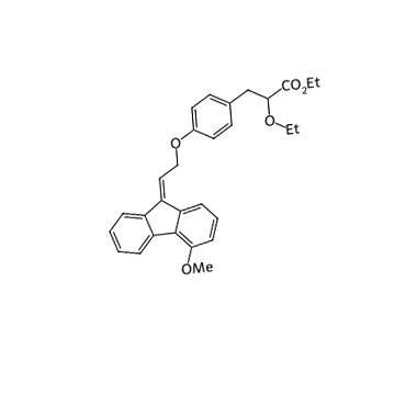 CCOC(=O)C(Cc1ccc(OCC=C2c3ccccc3-c3c(OC)cccc32)cc1)OCC